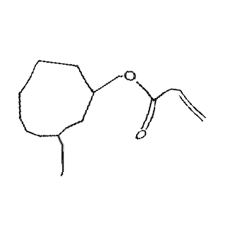 C=CC(=O)OC1CCCCC(C)C1